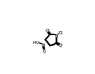 O=C1CCC(=O)N1Cl.O=NO